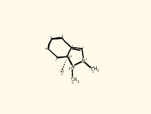 CN1C=C2CCCC[C@@H]2N1C